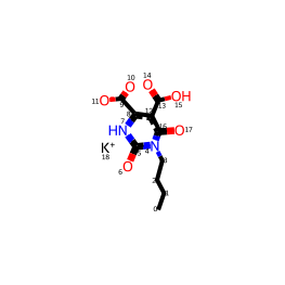 CCCCn1c(=O)[nH]c(C(=O)[O-])c(C(=O)O)c1=O.[K+]